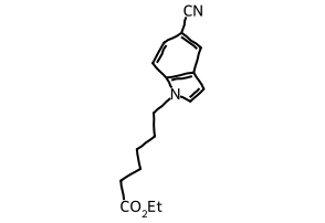 CCOC(=O)CCCCCn1ccc2cc(C#N)ccc21